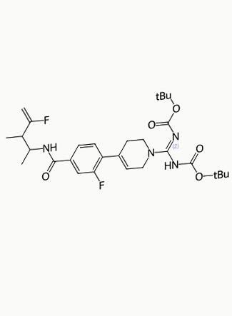 C=C(F)C(C)C(C)NC(=O)c1ccc(C2=CCN(/C(=N\C(=O)OC(C)(C)C)NC(=O)OC(C)(C)C)CC2)c(F)c1